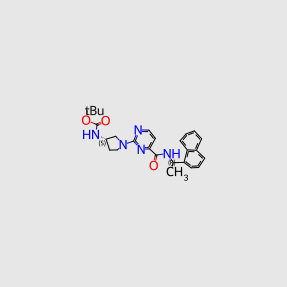 C[C@@H](NC(=O)c1ccnc(N2CC[C@H](NC(=O)OC(C)(C)C)C2)n1)c1cccc2ccccc12